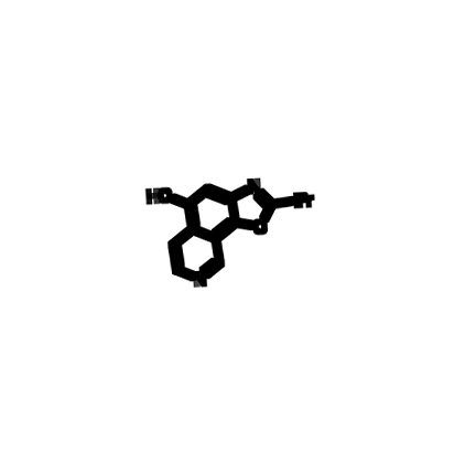 CC(C)c1nc2cc(O)c3ccncc3c2o1